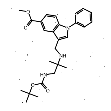 COC(=O)c1ccc2c(c1)c(CNC(C)(C)CNC(=O)OC(C)(C)C)cn2-c1ccccc1